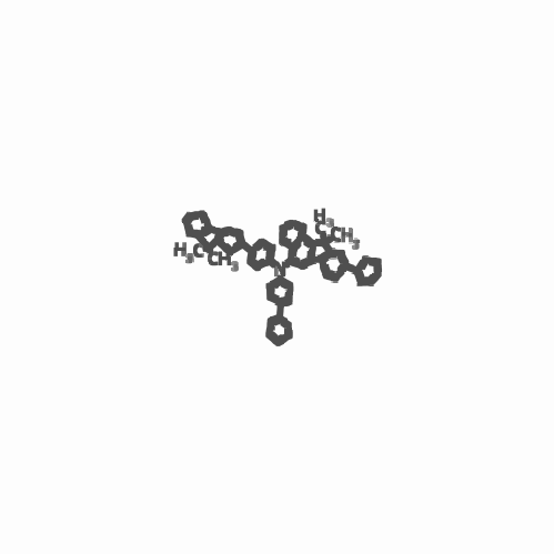 CC1(C)c2ccccc2-c2ccc(-c3ccc(N(c4ccc(-c5ccccc5)cc4)c4cc5c(c6ccccc46)C(C)(C)c4cc(-c6ccccc6)ccc4-5)cc3)cc21